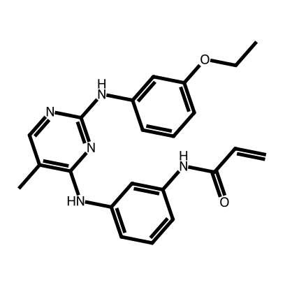 C=CC(=O)Nc1cccc(Nc2nc(Nc3cccc(OCC)c3)ncc2C)c1